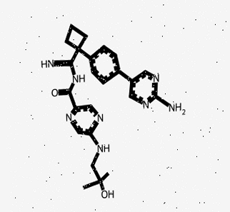 CC(C)(O)CNc1cnc(C(=O)NC(=N)C2(c3ccc(-c4cnc(N)nc4)cc3)CCC2)cn1